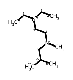 CCN(CC)CCN(C)CC(C)C